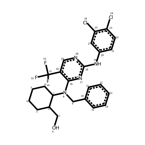 OCC1CCCCC1N(Cc1ccccc1)c1nc(Nc2ccc(Cl)c(Cl)c2)ncc1C(F)(F)F